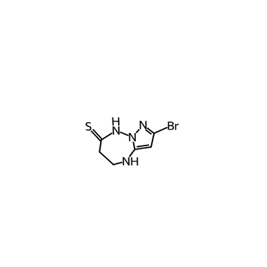 S=C1CCNc2cc(Br)nn2N1